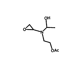 CC(=O)OCCN(C(C)O)C1CO1